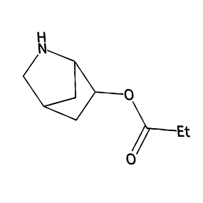 CCC(=O)OC1CC2CNC1C2